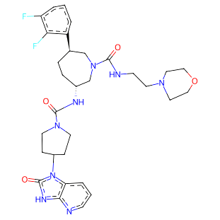 O=C(NCCN1CCOCC1)N1C[C@H](NC(=O)N2CCC(n3c(=O)[nH]c4ncccc43)CC2)CC[C@@H](c2cccc(F)c2F)C1